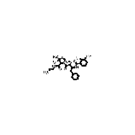 C=CCNC(=O)C1N(C(=O)C(OC(C)=O)C(Cc2ccccc2)NC(=O)c2cccc(OC(C)=O)c2C)CSC1(C)C